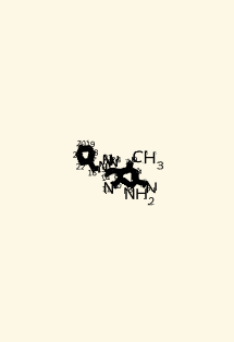 CCc1cc(C#N)c(N)c(C#N)c1-c1cn(Cc2ccccc2)nn1